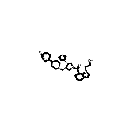 O=C(c1cccc2ccn(CCO)c12)N1C[C@@H](CN2CCC(c3ccc(F)cc3)CC2)[C@H](c2ccsc2)C1